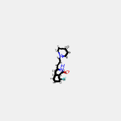 O=c1[nH]c(CCCN2CC[CH]CC2)cc2cccc(F)c12